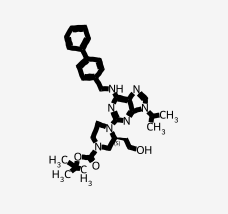 CC(C)n1cnc2c(NCc3ccc(-c4ccccc4)cc3)nc(N3CCN(C(=O)OC(C)(C)C)C[C@@H]3CCO)nc21